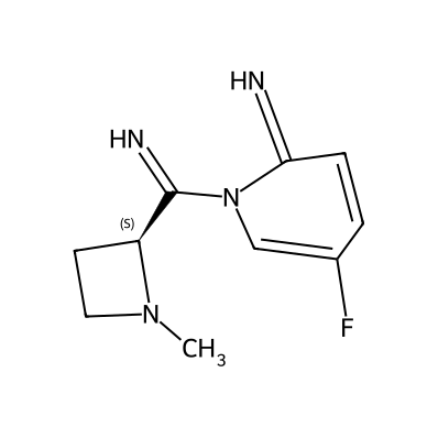 CN1CC[C@H]1C(=N)n1cc(F)ccc1=N